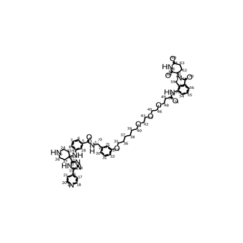 C[C@@H](NC(=O)c1cccc(NC2(c3nnc(-c4ccncc4)[nH]3)CCNCC2)c1)c1cccc(OCCCCCCOCCOCCOCCC(=O)Nc2cccc3c2CN(C2CCC(=O)NC2=O)C3=O)c1